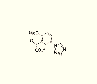 COc1ccc(-n2cnnn2)cc1C(=O)C(=O)O